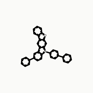 c1ccc(-c2ccc(-n3c4ccc(-c5ccccc5)cc4c4cc5c(cc43)oc3ccccc35)cc2)cc1